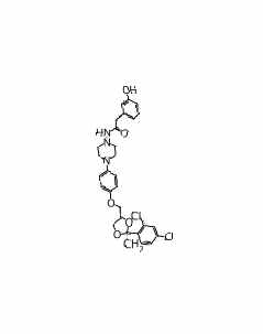 C[C@]1(c2ccc(Cl)cc2Cl)OC[C@@H](COc2ccc(N3CCN(NC(=O)Cc4cccc(O)c4)CC3)cc2)O1